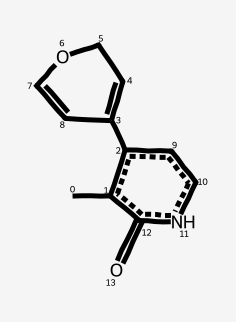 Cc1c(C2=CCOC=C2)cc[nH]c1=O